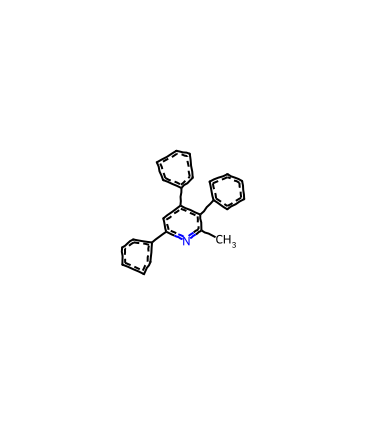 Cc1nc(-c2ccccc2)cc(-c2ccccc2)c1-c1ccccc1